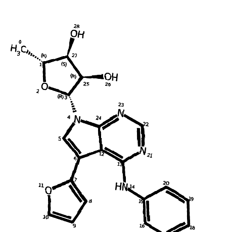 C[C@H]1O[C@@H](n2cc(-c3ccco3)c3c(Nc4ccccc4)ncnc32)[C@H](O)[C@@H]1O